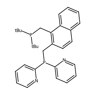 CC(C)(C)P(Cc1c(CP(c2ccccn2)c2ccccn2)ccc2ccccc12)C(C)(C)C